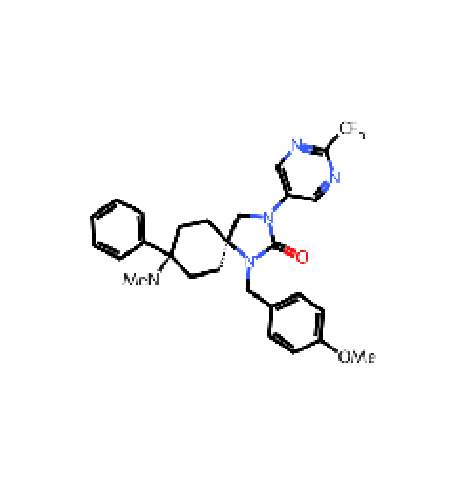 CN[C@]1(c2ccccc2)CC[C@]2(CC1)CN(c1cnc(C(F)(F)F)nc1)C(=O)N2Cc1ccc(OC)cc1